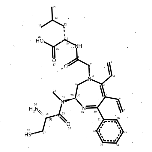 C=CC1=C(C=C)N(CC(=O)N[C@@H](CC(C)C)C(=O)O)C[C@H](N(C)C(=O)[C@@H](N)CS)N=C1c1ccccc1